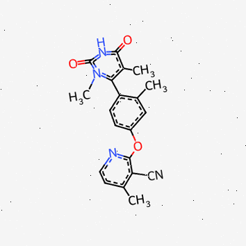 Cc1cc(Oc2nccc(C)c2C#N)ccc1-c1c(C)c(=O)[nH]c(=O)n1C